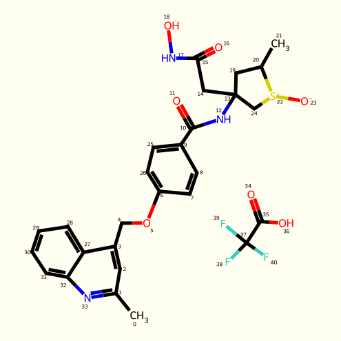 Cc1cc(COc2ccc(C(=O)NC3(CC(=O)NO)CC(C)[S+]([O-])C3)cc2)c2ccccc2n1.O=C(O)C(F)(F)F